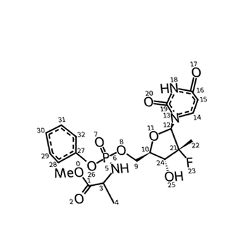 COC(=O)C(C)NP(=O)(OC[C@H]1O[C@@H](n2ccc(=O)[nH]c2=O)[C@](C)(F)[C@@H]1O)Oc1ccccc1